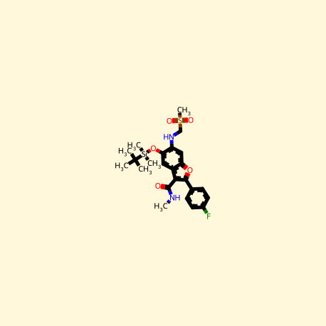 CNC(=O)c1c(-c2ccc(F)cc2)oc2cc(NCS(C)(=O)=O)c(O[Si](C)(C)C(C)(C)C)cc12